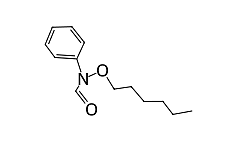 CCCCCCON(C=O)c1ccccc1